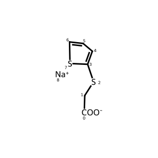 O=C([O-])CSc1cccs1.[Na+]